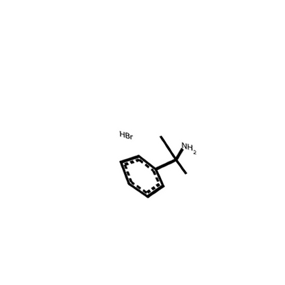 Br.CC(C)(N)c1ccccc1